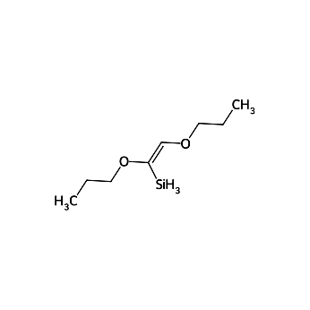 CCCOC=C([SiH3])OCCC